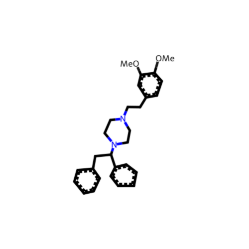 COc1ccc(CCN2CCN(C(Cc3ccccc3)c3ccccc3)CC2)cc1OC